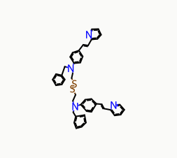 C(=C\c1ccccn1)/c1ccc(N(CCSSCCN(Cc2ccccc2)c2ccc(/C=C/c3ccccn3)cc2)Cc2ccccc2)cc1